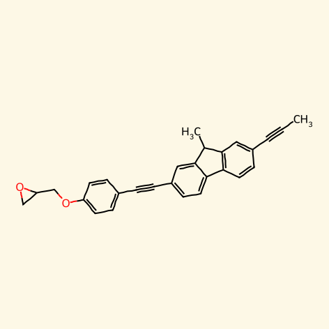 CC#Cc1ccc2c(c1)C(C)c1cc(C#Cc3ccc(OCC4CO4)cc3)ccc1-2